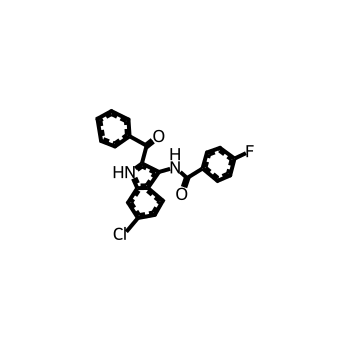 O=C(Nc1c(C(=O)c2ccccc2)[nH]c2cc(Cl)ccc12)c1ccc(F)cc1